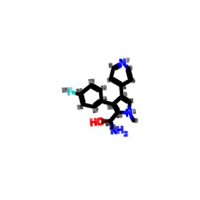 Cn1cc(-c2ccncc2)c(-c2ccc(F)cc2)c1C(N)O